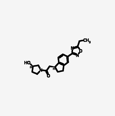 CCc1nc(-c2ccc3c(c2)CC[C@H]3CC(=O)N2CC[C@@H](O)C2)no1